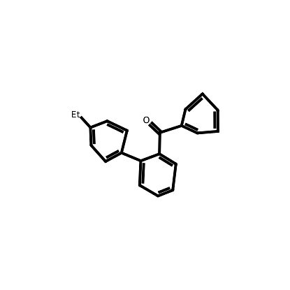 CCc1ccc(-c2ccccc2C(=O)c2ccccc2)cc1